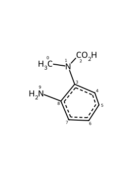 CN(C(=O)O)c1ccccc1N